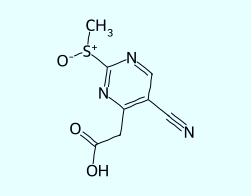 C[S+]([O-])c1ncc(C#N)c(CC(=O)O)n1